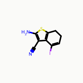 N#Cc1c(N)sc2c1C(I)=CCC2